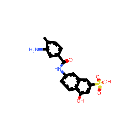 Cc1ccc(C(=O)Nc2ccc3c(O)cc(S(=O)(=O)O)cc3c2)cc1N